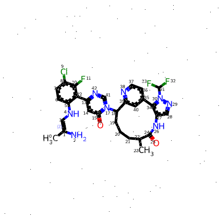 C/C(N)=C/Nc1ccc(Cl)c(F)c1-c1cc(=O)n(C2CCCC(C)C(=O)Nc3cnn(C(F)F)c3-c3ccnc2c3)cn1